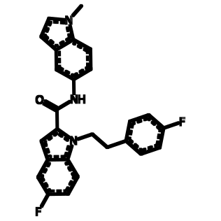 Cn1ccc2cc(NC(=O)c3cc4cc(F)ccc4n3CCc3ccc(F)cc3)ccc21